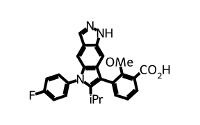 COc1c(C(=O)O)cccc1-c1c(C(C)C)n(-c2ccc(F)cc2)c2cc3cn[nH]c3cc12